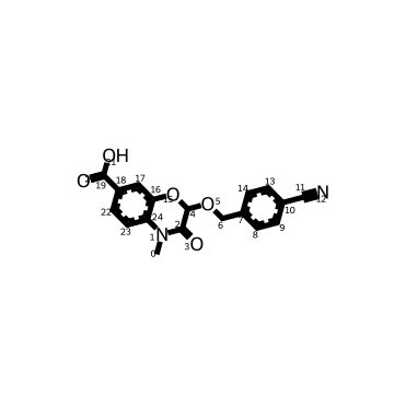 CN1C(=O)C(OCc2ccc(C#N)cc2)Oc2cc(C(=O)O)ccc21